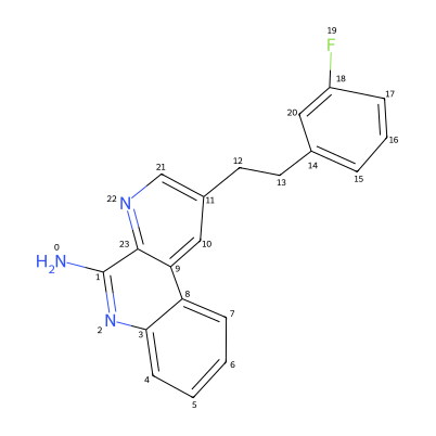 Nc1nc2ccccc2c2cc(CCc3cccc(F)c3)cnc12